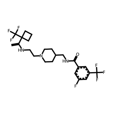 C=C(NCCN1CCC(CNC(=O)c2cc(F)cc(C(F)(F)F)c2)CC1)C1(C(F)(F)F)CCC1